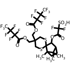 CC1(C)C2CCC1(C)C1(SCC(COC(=O)C(F)(F)C(F)(F)C(F)(F)F)(COC(=O)C(F)(F)C(F)(F)C(F)(F)F)CS1)C2OC(=O)C(F)(F)S(=O)(=O)O